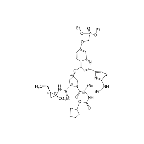 C=C[C@@H]1C[C@]1(NC(=O)[C@@H]1C[C@@H](Oc2cc(-c3csc(NC(C)C)n3)nc3cc(OCP(=O)(OCC)OCC)ccc23)CN1C(=O)[C@@H](NC(=O)OC1CCCC1)C(C)(C)C)C(=O)OCC